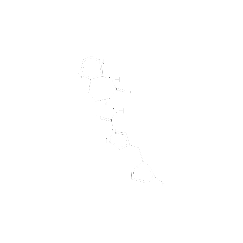 O=C1Nc2nccnc2CC[C@H]1NC(=O)n1cc(Cc2cccc(F)c2)cn1